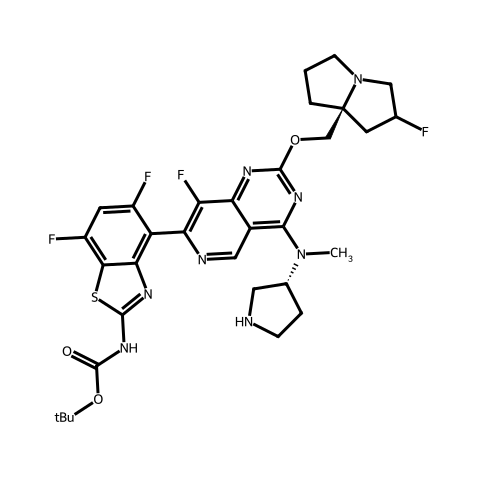 CN(c1nc(OC[C@@]23CCCN2CC(F)C3)nc2c(F)c(-c3c(F)cc(F)c4sc(NC(=O)OC(C)(C)C)nc34)ncc12)[C@@H]1CCNC1